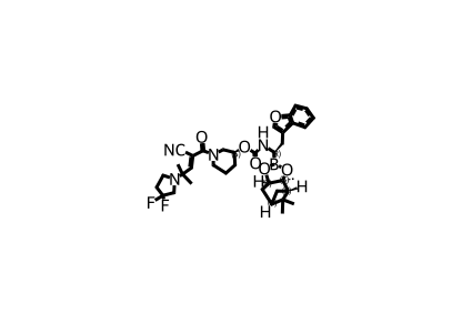 CC1(C)[C@@H]2C[C@H]3OB([C@H](Cc4coc5ccccc45)NC(=O)O[C@H]4CCCN(C(=O)C(C#N)=CC(C)(C)N5CCC(F)(F)C5)C4)O[C@@]3(C)[C@H]1C2